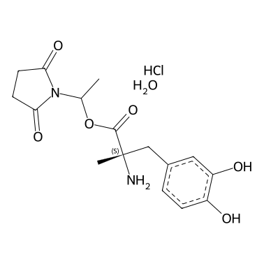 CC(OC(=O)[C@@](C)(N)Cc1ccc(O)c(O)c1)N1C(=O)CCC1=O.Cl.O